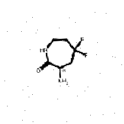 N[C@@H]1CC(F)(F)CCNC1=O